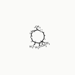 CC1CCCCC(C)(C)C(C)C(C)CCCN1